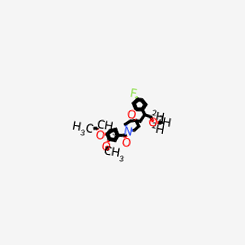 [2H]C([2H])([2H])OCC1CC2(CCN(C(=O)c3ccc(OC(C)C)c(OC)c3)CC2)Oc2cc(F)ccc21